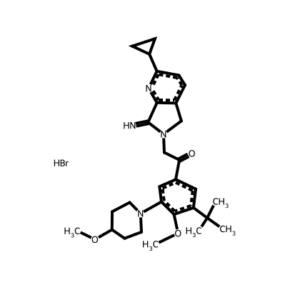 Br.COc1c(N2CCC(OC)CC2)cc(C(=O)CN2Cc3ccc(C4CC4)nc3C2=N)cc1C(C)(C)C